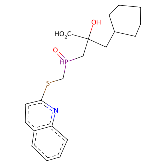 O=C(O)C(O)(CC1CCCCC1)C[PH](=O)CSc1ccc2ccccc2n1